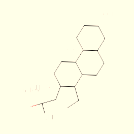 CCCCCC[C@](C)(O)[C@H]1CCC2C3CCC4C[C@@H](O)CC[C@]4(C)C3CC[C@@]21C